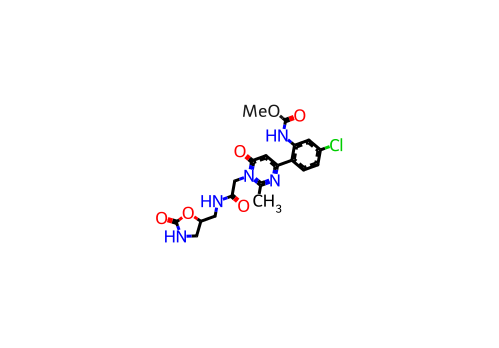 COC(=O)Nc1cc(Cl)ccc1-c1cc(=O)n(CC(=O)NCC2CNC(=O)O2)c(C)n1